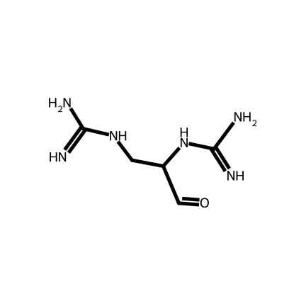 N=C(N)NCC(C=O)NC(=N)N